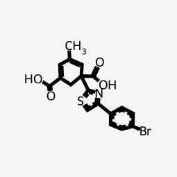 CC1=CC(C(=O)O)(c2nc(-c3ccc(Br)cc3)cs2)CC(C(=O)O)=C1